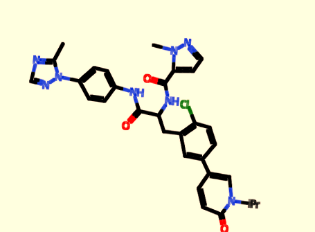 Cc1ncnn1-c1ccc(NC(=O)C(Cc2cc(-c3ccc(=O)n(C(C)C)c3)ccc2Cl)NC(=O)c2ccnn2C)cc1